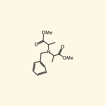 COC(=O)C(C)N(Cc1ccccc1)C(C)C(=O)OC